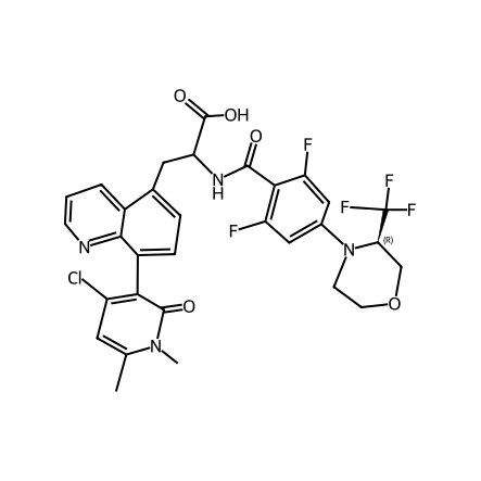 Cc1cc(Cl)c(-c2ccc(CC(NC(=O)c3c(F)cc(N4CCOC[C@@H]4C(F)(F)F)cc3F)C(=O)O)c3cccnc23)c(=O)n1C